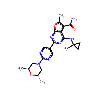 Cc1oc2nc(-c3cnc(N4C[C@@H](C)O[C@@H](C)C4)nc3)nc(NC3(C)CC3)c2c1C(N)=O